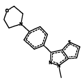 Cn1nc(-c2ccc(N3CCOCC3)cc2)c2sccc21